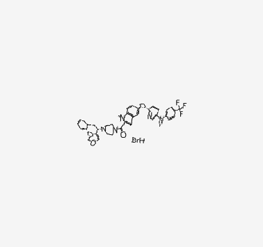 Br.CN(c1ccc(C(F)(F)F)cc1)c1ccc(Oc2ccc3c(c2)cc(C(=O)N2CCN(C(Cc4ccccc4)C4=COCO4)CC2)n3C)nc1